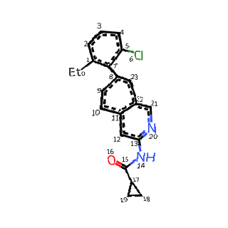 CCc1cccc(Cl)c1-c1ccc2cc(NC(=O)C3CC3)ncc2c1